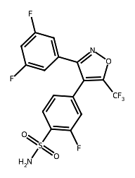 NS(=O)(=O)c1ccc(-c2c(-c3cc(F)cc(F)c3)noc2C(F)(F)F)cc1F